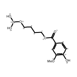 COc1cc(C(=O)OCCCCON(O)O)ccc1O